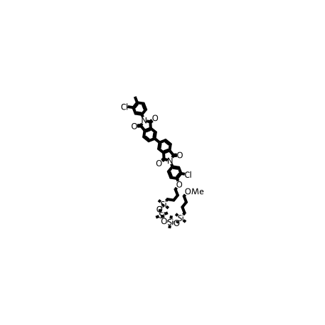 COCCCC[Si](C)(C)O[Si](C)(C)O[Si](C)(C)O[Si](C)(C)CCCCOc1ccc(N2C(=O)c3ccc(-c4ccc5c(c4)C(=O)N(c4ccc(C)c(Cl)c4)C5=O)cc3C2=O)cc1Cl